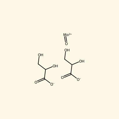 O=C([O-])C(O)CO.O=C([O-])C(O)CO.[O]=[Mo+2]